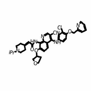 CC(C)N1CCC(=CC(=O)Nc2c(OC3CCOC3)ccc3c(Nc4ccc(OCc5ccccn5)c(Cl)c4)c(C#N)cnc23)CC1